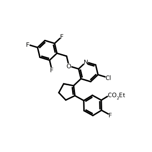 CCOC(=O)c1cc(C2=C(c3cc(Cl)cnc3OCc3c(F)cc(F)cc3F)CCC2)ccc1F